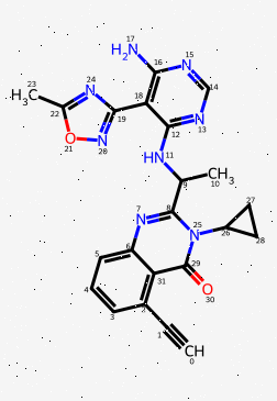 C#Cc1cccc2nc(C(C)Nc3ncnc(N)c3-c3noc(C)n3)n(C3CC3)c(=O)c12